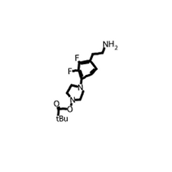 CC(C)(C)C(=O)ON1CCN(c2ccc(CCN)c(F)c2F)CC1